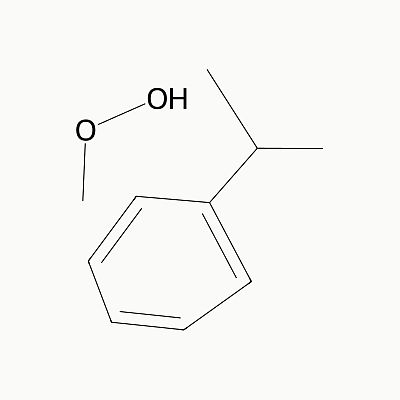 CC(C)c1ccccc1.COO